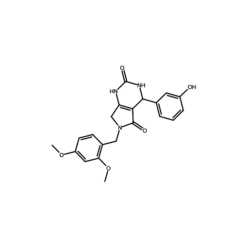 COc1ccc(CN2CC3=C(C2=O)C(c2cccc(O)c2)NC(=O)N3)c(OC)c1